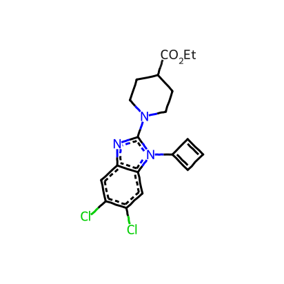 CCOC(=O)C1CCN(c2nc3cc(Cl)c(Cl)cc3n2C2=CC=C2)CC1